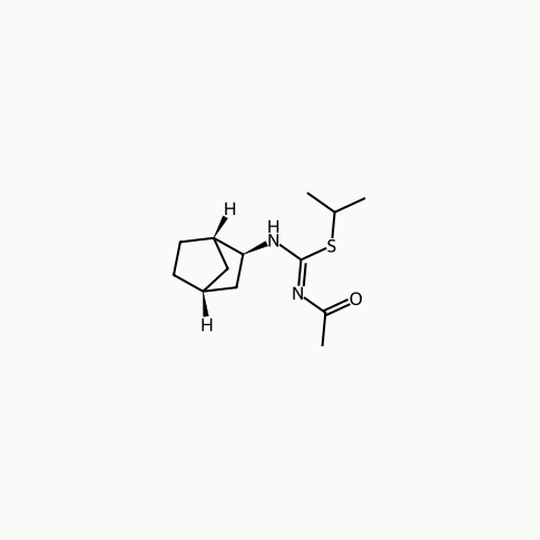 CC(=O)/N=C(/N[C@H]1C[C@@H]2CC[C@H]1C2)SC(C)C